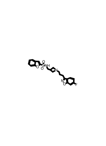 O=S(=O)(NCC1CN(CCCc2noc3cc(F)ccc23)C1)c1cc2ccccc2o1